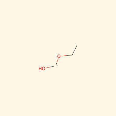 CCO[CH]O